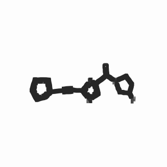 O=C(c1cnc(C#Cc2ccccc2)s1)N1CCC(F)C1